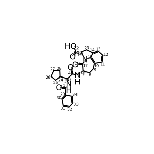 O=C(N[C@H](C(=O)N[C@H]1CCc2cccc3c2N(C1=O)[C@H](C(=O)O)C3)C1CCCC1)c1ccccc1